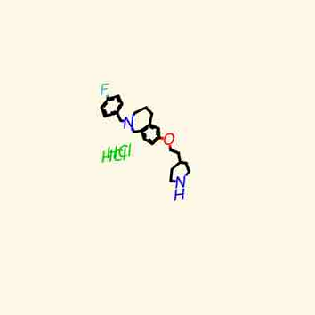 Cl.Cl.Fc1ccc(CN2CCCc3cc(OCCC4CCNCC4)ccc3C2)cc1